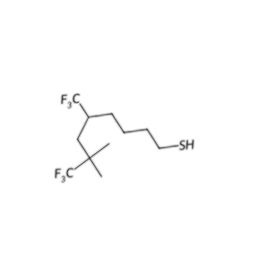 CC(C)(CC(CCCCS)C(F)(F)F)C(F)(F)F